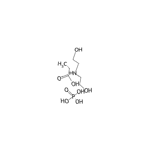 CCC(=O)O.O=P(O)(O)O.OCCNCCO